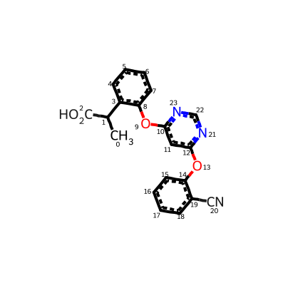 CC(C(=O)O)c1ccccc1Oc1cc(Oc2ccccc2C#N)ncn1